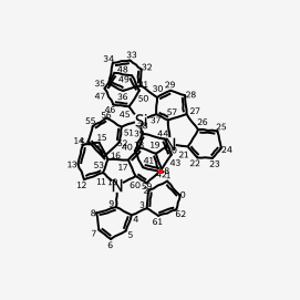 c1ccc(-c2ccccc2-n2c3ccccc3c3cc(-n4c5ccccc5c5ccc(-c6ccccc6)c([Si](c6ccccc6)(c6ccccc6)c6ccccc6)c54)ccc32)cc1